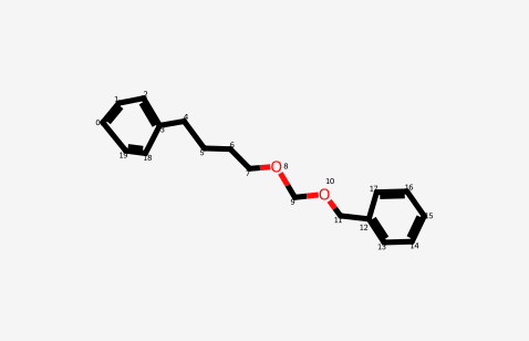 c1ccc(CCCCOCOCc2ccccc2)cc1